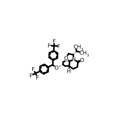 CC(C)[C@H]1CO[C@]23CC[C@@H](OC(c4ccc(C(F)(F)F)cc4)c4ccc(C(F)(F)F)cc4)C[C@H]2CCC(=O)N13